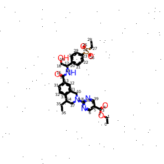 CCOC(=O)c1cnc(N2Cc3cc(C(=O)NC(CO)c4ccc(S(=O)(=O)CC)cc4)ccc3C(CC)C2)nc1